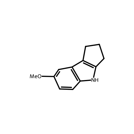 COc1ccc2[nH]c3c(c2c1)CCC3